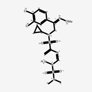 C=C(/N=C\N(N)S(=O)(=O)N(C)C)S(=O)(=O)N(C/C(=N\OC)c1ccc(Cl)c(Cl)c1)C1CC1